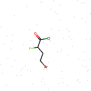 O=C(Cl)C(F)CCBr